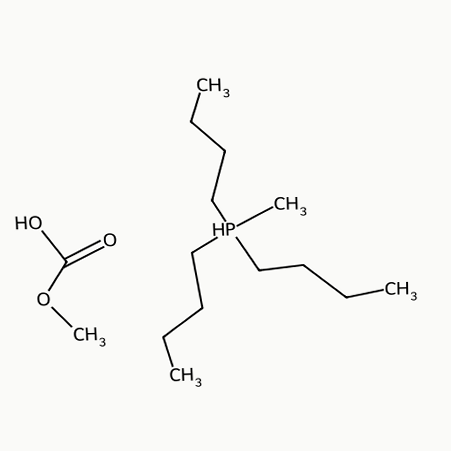 CCCC[PH](C)(CCCC)CCCC.COC(=O)O